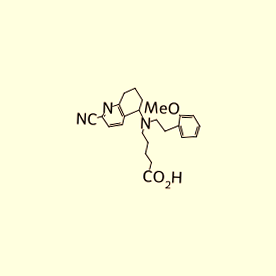 COc1ccccc1CCN(CCCCC(=O)O)C1CCCc2nc(C#N)ccc21